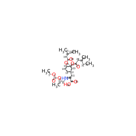 CCOC(=O)OC(C)CN[C@@H](Cc1ccc(OC(=O)CC(C)CC)c(OC(=O)CC(C)CC)c1)C(=O)O